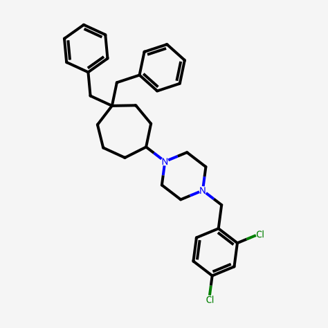 Clc1ccc(CN2CCN(C3CCCC(Cc4ccccc4)(Cc4ccccc4)CC3)CC2)c(Cl)c1